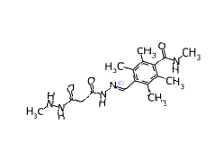 CNNC(=O)CC(=O)N/N=C/c1c(C)c(C)c(C(=O)NC)c(C)c1C